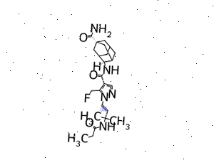 CCC(=O)NC(C)(C)/C=C/n1ncc(C(=O)N[C@H]2C3CC4CC2C[C@](C(N)=O)(C4)C3)c1CF